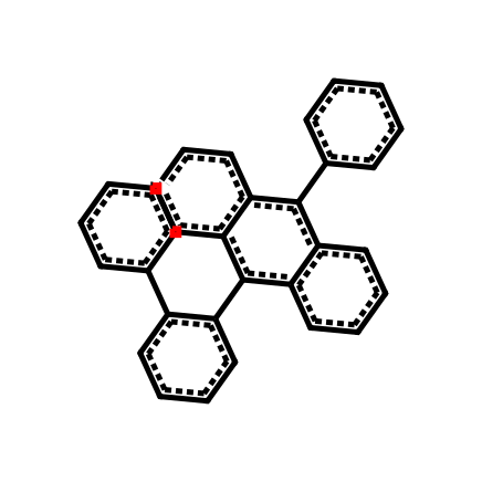 c1ccc(-c2ccccc2-c2c3ccccc3c(-c3ccccc3)c3ccncc23)cc1